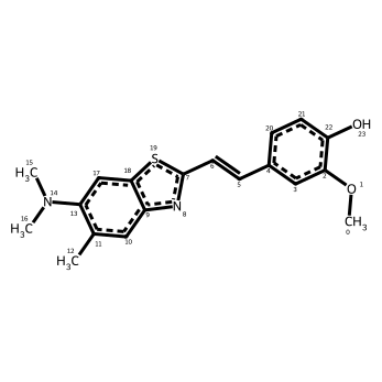 COc1cc(C=Cc2nc3cc(C)c(N(C)C)cc3s2)ccc1O